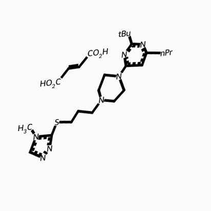 CCCc1cc(N2CCN(CCCSc3nncn3C)CC2)nc(C(C)(C)C)n1.O=C(O)C=CC(=O)O